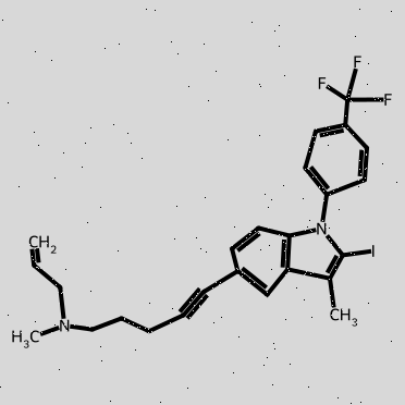 C=CCN(C)CCCC#Cc1ccc2c(c1)c(C)c(I)n2-c1ccc(C(F)(F)F)cc1